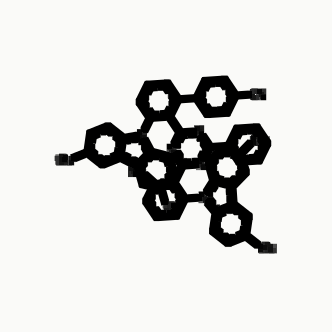 CC(C)(C)c1ccc2c(c1)c1cc(C(C)(C)C)ccc1n2-c1cccc(C#N)c1-c1nc(-c2ccccc2)nc(-c2c(-c3ccc(C#N)cc3)cccc2-n2c3ccc(C(C)(C)C)cc3c3cc(C(C)(C)C)ccc32)n1